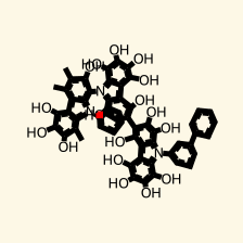 Cc1c(O)c(-n2c3c(O)cc(-c4c(O)c(O)c5c(c4O)c4c(O)c(O)c(O)c(O)c4n5-c4cccc(-c5ccccc5)c4)c(O)c3c3c(O)c(O)c(O)c(O)c32)c2c(c1C)c1c(O)c(O)c(O)c(C)c1n2-c1ccccc1